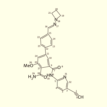 C#Cc1ccc(NC(=O)c2cc(-c3ccc(C=NN4CCC4)cc3)cc(OC)c2C(N)=O)nc1